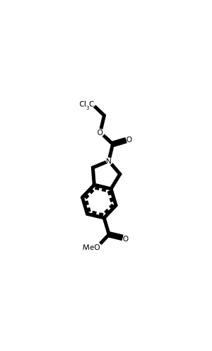 COC(=O)c1ccc2c(c1)CN(C(=O)OCC(Cl)(Cl)Cl)C2